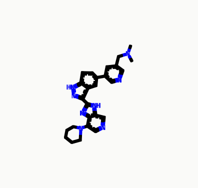 CN(C)Cc1cncc(-c2ccc3[nH]nc(-c4nc5c(N6CCCCC6)cncc5[nH]4)c3c2)c1